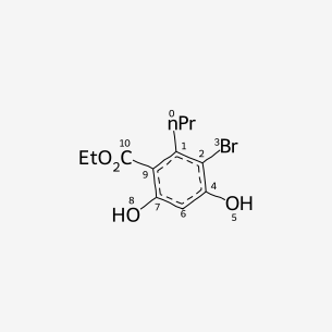 CCCc1c(Br)c(O)cc(O)c1C(=O)OCC